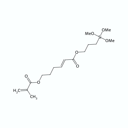 C=C(C)C(=O)OCCCC=CC(=O)OCCC[Si](OC)(OC)OC